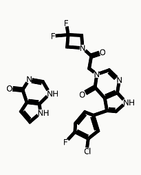 O=C(Cn1cnc2[nH]cc(-c3ccc(F)c(Cl)c3)c2c1=O)N1CC(F)(F)C1.O=c1nc[nH]c2[nH]ccc12